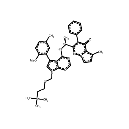 COc1ccc(C)cc1-c1cn(COCC[Si](C)(C)C)c2ncnc(N[C@@H](C)c3nn4ccc(C)c4c(=O)n3-c3ccccc3)c12